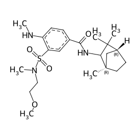 CNc1ccc(C(=O)NC2C(C)(C)[C@@H]3CC[C@]2(C)C3)cc1S(=O)(=O)N(C)CCOC